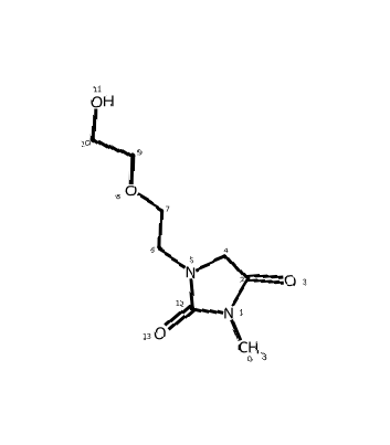 CN1C(=O)CN(CCOCCO)C1=O